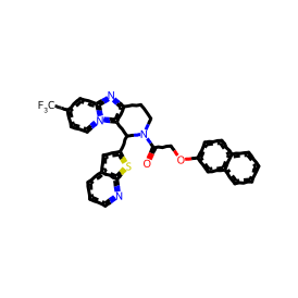 O=C(COc1ccc2ccccc2c1)N1CCc2nc3cc(C(F)(F)F)ccn3c2C1c1cc2cccnc2s1